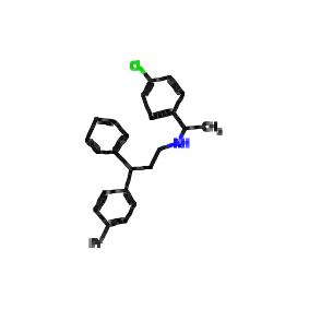 CC(C)c1ccc(C(CCNC(C)c2ccc(Cl)cc2)c2ccccc2)cc1